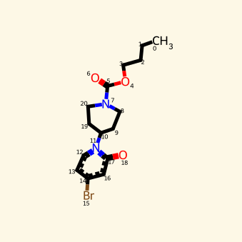 CCCCOC(=O)N1CCC(n2ccc(Br)cc2=O)CC1